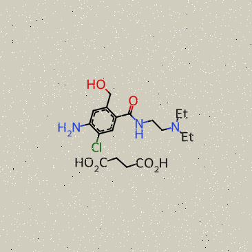 CCN(CC)CCNC(=O)c1cc(Cl)c(N)cc1CO.O=C(O)CCC(=O)O